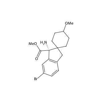 COC(=O)[C@]1(N)c2cc(Br)ccc2CC12CCC(OC)CC2